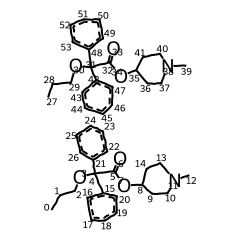 CCCOC(C(=O)OC1CCN(C)CC1)(c1ccccc1)c1ccccc1.CCCOC(C(=O)OC1CCN(C)CC1)(c1ccccc1)c1ccccc1